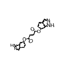 O=C(/C=C/C(=O)Oc1ccc2cn[nH]c2c1)Oc1ccc2cn[nH]c2c1